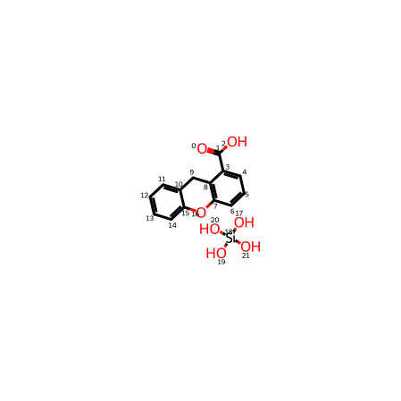 O=C(O)c1cccc2c1Cc1ccccc1O2.O[Si](O)(O)O